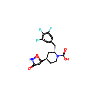 O=C(O)N1CC[C@@H](c2cc(=O)[nH]o2)C[C@@H]1Cc1cc(F)c(F)c(F)c1